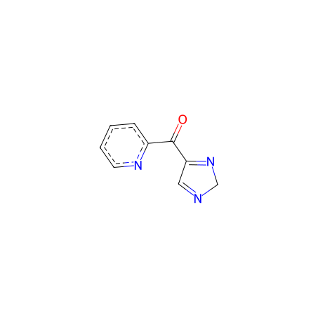 O=C(C1=NCN=C1)c1ccccn1